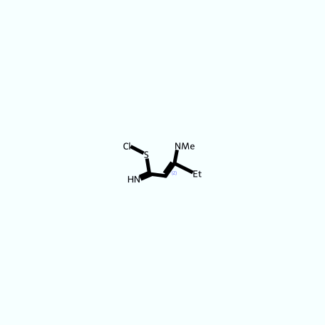 CC/C(=C/C(=N)SCl)NC